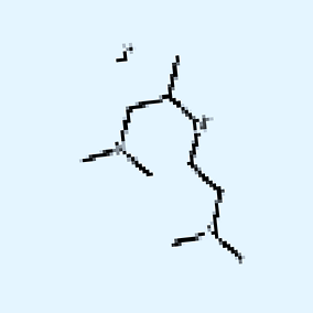 CC(CN(C)C)[N-]CCN(C)C.[Li+]